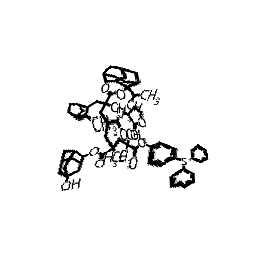 CC1C2CCC(C2)C1CC(C)(CC(CC(C)(CC(C)(C)C(=O)Oc1ccc([S+](c2ccccc2)c2ccccc2)cc1)C(=O)OC1C2CC3CC1CC(O)(C3)C2)C(=O)OC1CCOC1=O)C(=O)OC1(C(C)C)C2CC3CC(C2)CC1C3